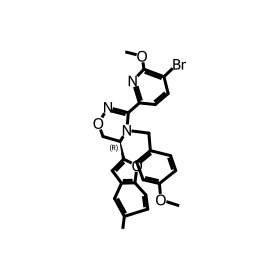 COc1ccc(CN2C(c3ccc(Br)c(OC)n3)=NOC[C@@H]2c2cc3cc(C)ccc3o2)cc1